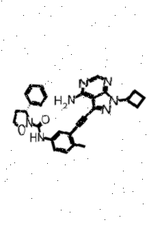 Cc1ccc(NC(=O)N2OCC[C@@H]2c2ccccc2)cc1C#Cc1nn(C2CCC2)c2ncnc(N)c12